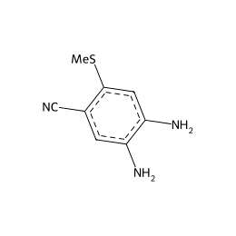 CSc1cc(N)c(N)cc1C#N